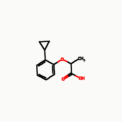 CC(Oc1ccccc1C1CC1)C(=O)O